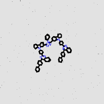 c1ccc(-c2ccc(-c3nc(-c4ccc(-n5c6ccccc6c6ccc(-c7nnc(-c8ccc9c%10ccccc%10n(-c%10ccc(-c%11nc(-c%12ccc(-c%13ccccc%13)cc%12)c%12ccccc%12n%11)cc%10)c9c8)n7-c7ccccc7)cc65)cc4)nc4ccccc34)cc2)cc1